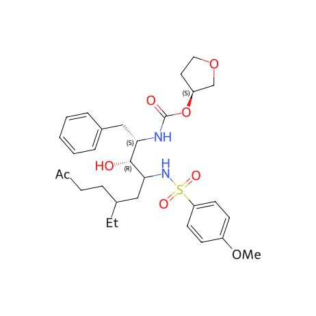 CCC(CCC(C)=O)CC(NS(=O)(=O)c1ccc(OC)cc1)[C@H](O)[C@H](Cc1ccccc1)NC(=O)O[C@H]1CCOC1